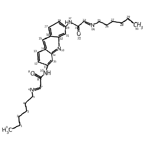 CCCCCCN=CC(=O)Nc1ccc2cc3ccc(NC(=O)C=NCCCCCC)cc3nc2c1